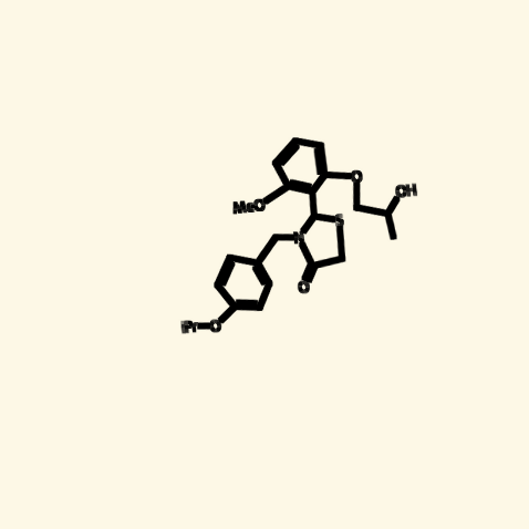 COc1cccc(OCC(C)O)c1C1SCC(=O)N1Cc1ccc(OC(C)C)cc1